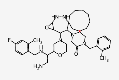 Cc1cc(F)ccc1CNC(CN)C1CN(C2C3OC3NNC3(CCCCCCCC3)C2N2CCN(Cc3ccccc3C)C(=O)C2)CCO1